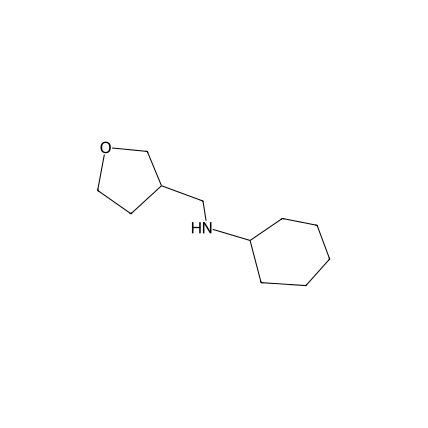 C1CCC(NCC2CCOC2)CC1